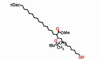 CCCCCCCCCCCCCCCCCCCCCCCCC(C(=O)OC)[C@@H](CCCCCCCCCO)O[Si](C)(C)C(C)(C)C